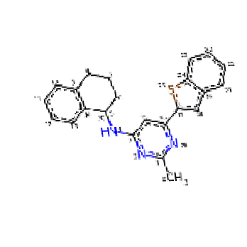 Cc1nc(N[C@@H]2CCCc3ccccc32)cc(-c2cc3ccccc3s2)n1